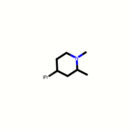 CC(C)C1CCN(C)C(C)C1